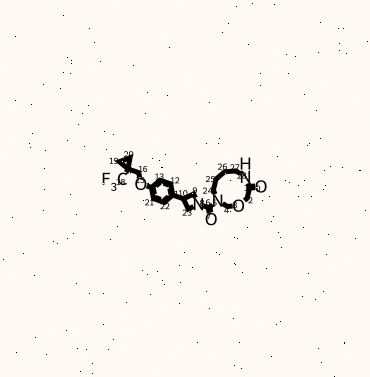 O=C1COCN(C(=O)N2CC(c3ccc(OCC4(C(F)(F)F)CC4)cc3)C2)CCCCN1